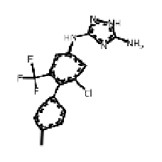 Cc1ccc(-c2c(Cl)cc(Nc3n[nH]c(N)n3)cc2C(F)(F)F)cc1